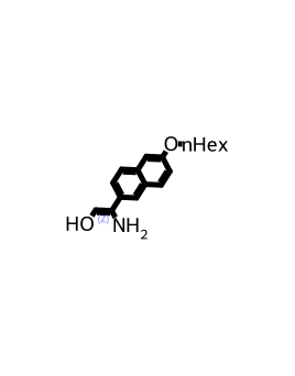 CCCCCCOc1ccc2cc(/C(N)=C/O)ccc2c1